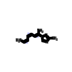 C\C=C/C=C\C=C(/N)n1cnc(C)n1